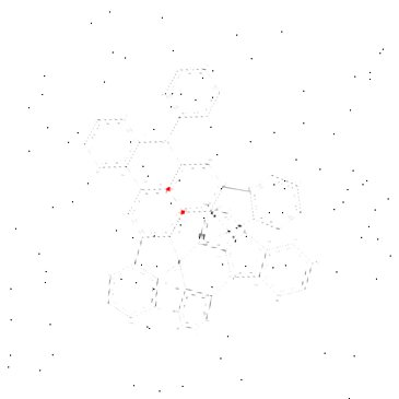 CC1(C)c2ccccc2-c2cc(N(c3ccccc3)c3ccccc3-c3ccc4c(c3)-c3ccccc3C43c4ccccc4-n4c5ccccc5c5cccc3c54)ccc21